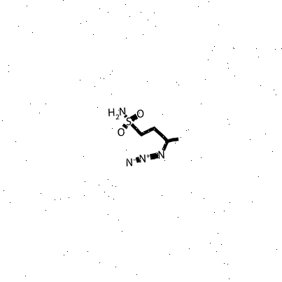 CC(CCS(N)(=O)=O)N=[N+]=[N-]